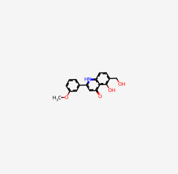 COc1cccc(-c2cc(=O)c3c(O)c(CO)ccc3[nH]2)c1